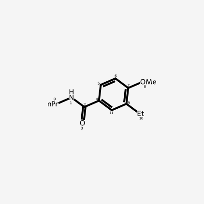 CCCNC(=O)c1ccc(OC)c(CC)c1